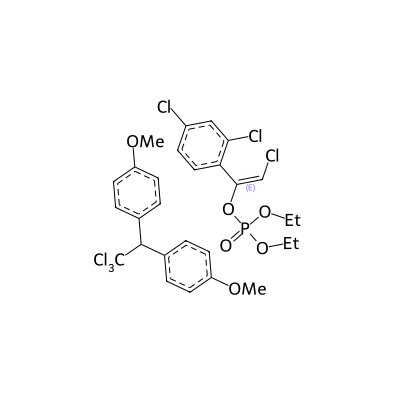 CCOP(=O)(OCC)O/C(=C/Cl)c1ccc(Cl)cc1Cl.COc1ccc(C(c2ccc(OC)cc2)C(Cl)(Cl)Cl)cc1